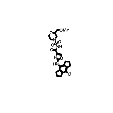 COCC1CN(S(=O)(=O)NC(=O)c2coc(Nc3c4c(c(Cl)c5c3CCC5)CCC4)n2)CCO1